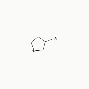 CCCC1CC[N]C1